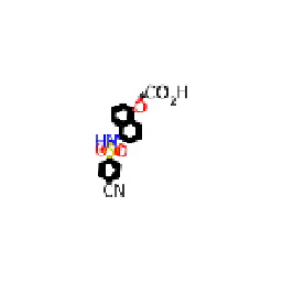 N#Cc1ccc(S(=O)(=O)NC2CCCc3c(OCC(=O)O)cccc32)cc1